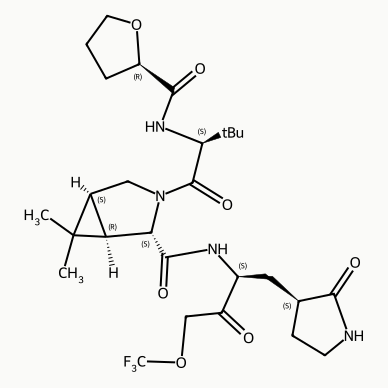 CC(C)(C)[C@H](NC(=O)[C@H]1CCCO1)C(=O)N1C[C@H]2[C@@H]([C@H]1C(=O)N[C@@H](C[C@@H]1CCNC1=O)C(=O)COC(F)(F)F)C2(C)C